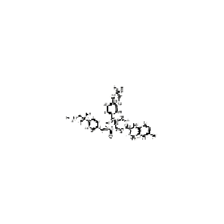 CCC(F)(F)c1ccc(CNC(=O)[C@H]2CN(c3cnc4cc(Br)ccc4n3)CCN2Sc2ccc(OC(F)(F)F)cc2)cc1